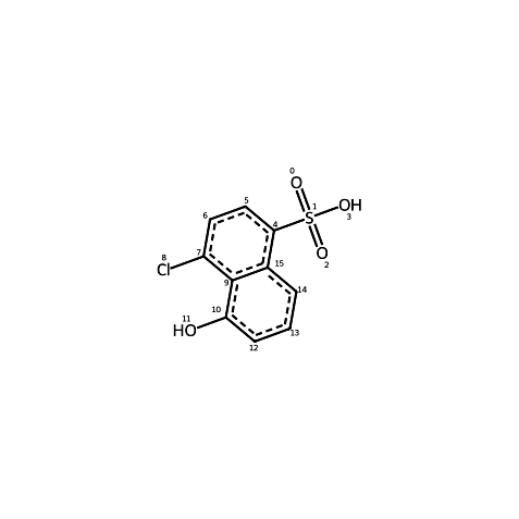 O=S(=O)(O)c1ccc(Cl)c2c(O)cccc12